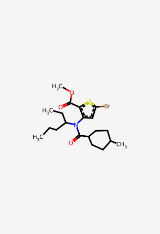 CCCC(CC)N(C(=O)C1CCC(C)CC1)c1cc(Br)sc1C(=O)OC